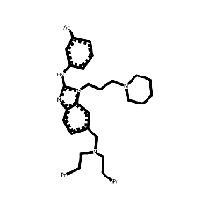 CC(=O)c1cccc(Nc2nc3ccc(CN(CCC(C)C)CCC(C)C)cc3n2CCCN2CCCCC2)c1